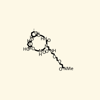 CNC(=O)CCOCCOCCNC(=O)CN1CC(=O)NCCO[C@@H]2O[C@@H](C)CC[C@@H]2O[C@H]2CC[C@H](O)[C@H](OCCNC(=O)C1)O2